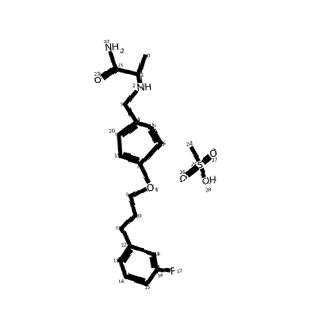 CC(NCc1ccc(OCCCc2cccc(F)c2)cc1)C(N)=O.CS(=O)(=O)O